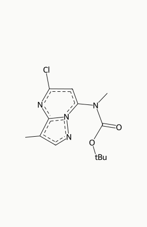 Cc1cnn2c(N(C)C(=O)OC(C)(C)C)cc(Cl)nc12